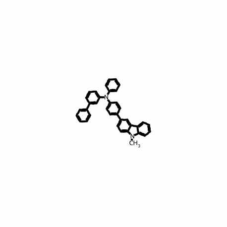 Cn1c2ccccc2c2cc(-c3ccc(N(c4ccccc4)c4cccc(-c5ccccc5)c4)cc3)ccc21